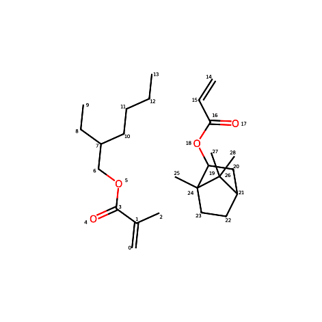 C=C(C)C(=O)OCC(CC)CCCC.C=CC(=O)OC1CC2CCC1(C)C2(C)C